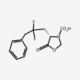 O=C1OCN(C(=O)O)[C@H]1CC(F)(F)Cc1ccccc1